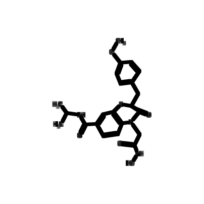 COc1ccc(CC2Sc3cc(C(=O)NC(C)C)ccc3N(CC(=O)NO)C2=O)cc1